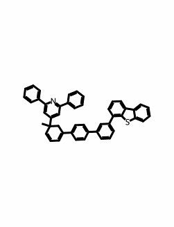 CC1(c2cc(-c3ccccc3)nc(-c3ccccc3)c2)C=CC=C(c2ccc(-c3cccc(-c4cccc5c4sc4ccccc45)c3)cc2)C1